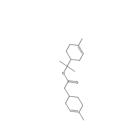 CC1=CCC(CC(=O)OC(C)(C)C2CC=C(C)CC2)CC1